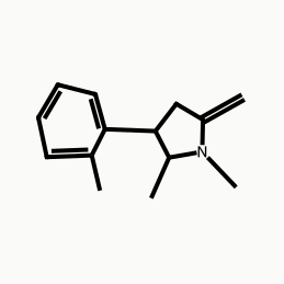 C=C1CC(c2ccccc2C)C(C)N1C